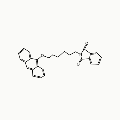 O=C1c2ccccc2C(=O)N1CCCCCCOc1c2ccccc2cc2ccccc12